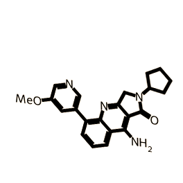 COc1cncc(-c2cccc3c(N)c4c(nc23)CN(C2CCCC2)C4=O)c1